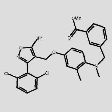 COC(=O)c1cccc(CN(C)c2ccc(OCc3c(-c4c(Cl)cccc4Cl)noc3C(C)C)cc2C)c1